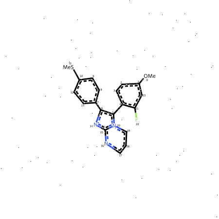 COc1ccc(-c2c(-c3ccc(SC)cc3)nc3ncccn23)c(F)c1